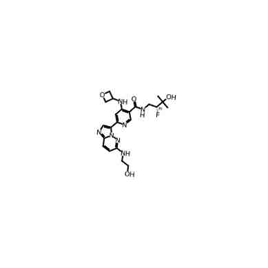 CC(C)(O)[C@H](F)CNC(=O)c1cnc(-c2cnc3ccc(NCCO)nn23)cc1NC1COC1